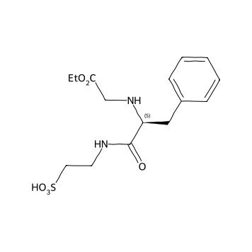 CCOC(=O)CN[C@@H](Cc1ccccc1)C(=O)NCCS(=O)(=O)O